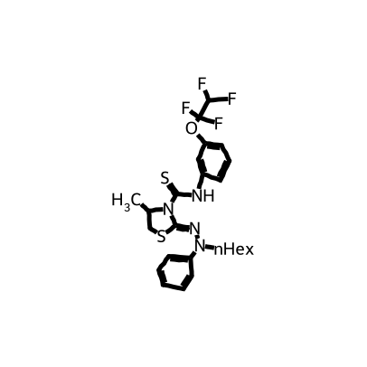 CCCCCCN(N=C1SCC(C)N1C(=S)Nc1cccc(OC(F)(F)C(F)F)c1)c1ccccc1